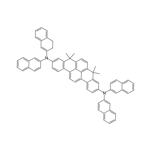 CC1(C)c2cc(N(C3=Cc4ccccc4CC3)c3ccc4ccccc4c3)ccc2-c2ccc3c4c(ccc1c24)C(C)(C)c1cc(N(c2ccc4ccccc4c2)c2ccc4ccccc4c2)ccc1-3